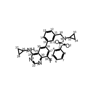 O=S(=O)(c1ccccc1)N(Cc1cccc(-c2cc(F)c3ncnc(NC4CC4)c3c2)c1)C1CC1